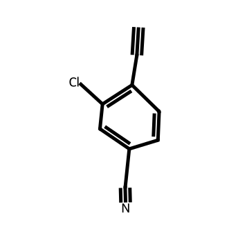 C#Cc1ccc(C#N)cc1Cl